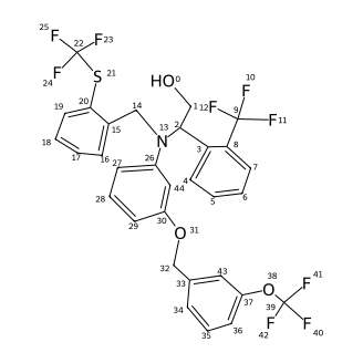 OCC(c1ccccc1C(F)(F)F)N(Cc1ccccc1SC(F)(F)F)c1cccc(OCc2cccc(OC(F)(F)F)c2)c1